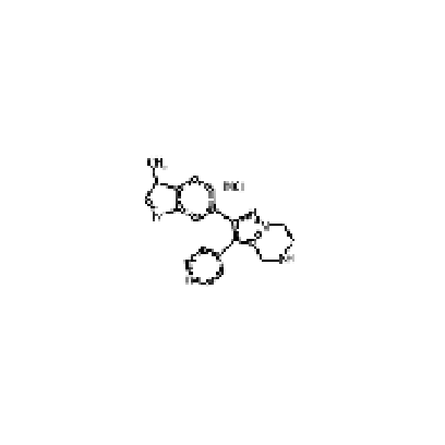 CC1C=Nc2cc(-c3nn4c(c3-c3ccncc3)CNCC4)ccc21.Cl